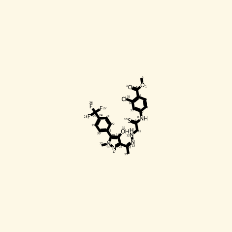 COC(=O)c1ccc(NC(=S)CNN=C(C)c2nn(C)c(-c3ccc(C(F)(F)F)cc3)c2O)cc1Cl